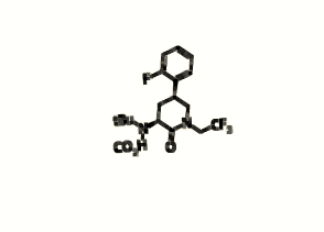 CC(C)(C)N(C(=O)O)[C@H]1C[C@@H](c2ccccc2F)CN(CC(F)(F)F)C1=O